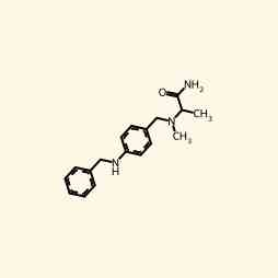 CC(C(N)=O)N(C)Cc1ccc(NCc2ccccc2)cc1